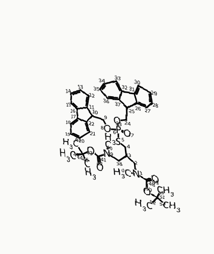 CN(CC(CSP(=O)(OCC1c2ccccc2-c2ccccc21)OCC1c2ccccc2-c2ccccc21)CN(C)C(=O)OC(C)(C)C)C(=O)OC(C)(C)C